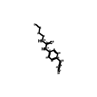 CCCCNC(=O)Nc1ccc(N=[N+]=[N-])cc1